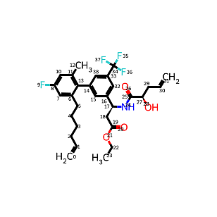 C=CCCCCc1cc(F)cc(C)c1-c1cc([C@H](CC(=O)OCC)NC(=O)[C@H](O)CC=C)cc(C(F)(F)F)c1